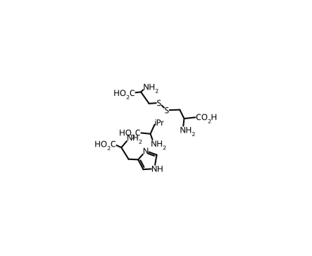 CC(C)C(N)C(=O)O.NC(CSSCC(N)C(=O)O)C(=O)O.NC(Cc1c[nH]cn1)C(=O)O